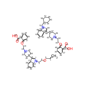 C=CCOCCn1cc(C2CCN(CCOc3ccccc3C(=O)O)CC2)c2ccccc21.O=C(O)c1ccccc1OCCN1CCC(c2cn(CC3CCCCC3)c3ccccc23)CC1